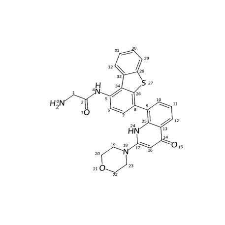 NCC(=O)Nc1ccc(-c2cccc3c(=O)cc(N4CCOCC4)[nH]c23)c2sc3ccccc3c12